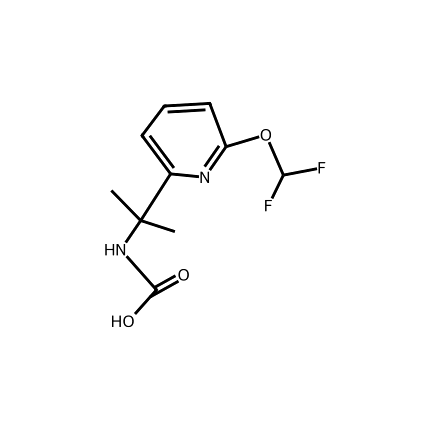 CC(C)(NC(=O)O)c1cccc(OC(F)F)n1